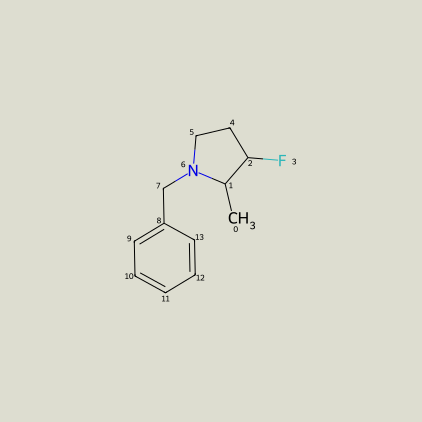 CC1C(F)CCN1Cc1ccccc1